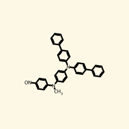 CN(c1ccc(N=O)cc1)c1ccc(N(c2ccc(-c3ccccc3)cc2)c2ccc(-c3ccccc3)cc2)cc1